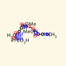 COc1c(OCCCOc2cn3c(c2OC)C=[N+]([O-])C2=CC=C(c4ccc(N5CCN(C)CC5)cc4)CC2C3)cn2c1C=[N+]([O-])C1=CC=C(c3ccc(NC(=O)C(C)NC(=O)C(NC(=O)O)C(C)C)cc3)CC1C2